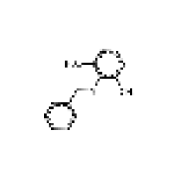 Cc1cccc(C)c1N=Cc1ccccc1